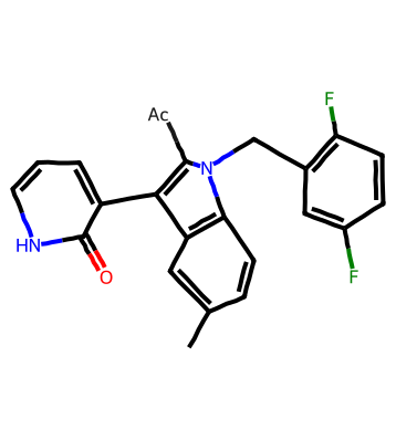 CC(=O)c1c(-c2ccc[nH]c2=O)c2cc(C)ccc2n1Cc1cc(F)ccc1F